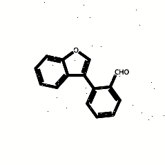 O=Cc1ccccc1-c1coc2ccccc12